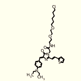 CCN(CC)c1ccc(/C=C2N=C(/C=C/c3cccs3)N(CC(=O)NCCOCCOCCCCCCCl)C\2=O)cc1